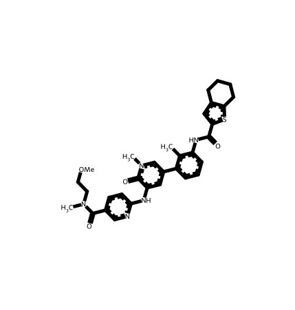 COCCN(C)C(=O)c1ccc(Nc2cc(-c3cccc(NC(=O)c4cc5c(s4)CCCC5)c3C)cn(C)c2=O)nc1